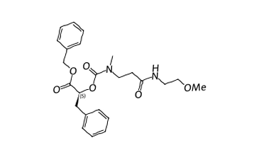 COCCNC(=O)CCN(C)C(=O)O[C@@H](Cc1ccccc1)C(=O)OCc1ccccc1